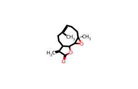 C=C1C(=O)OC2C1CC/C(C)=C/CC[C@@]1(C)OC21